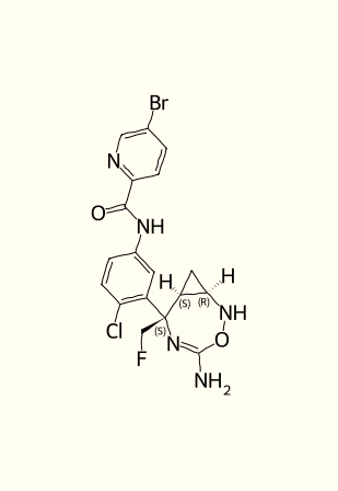 NC1=N[C@](CF)(c2cc(NC(=O)c3ccc(Br)cn3)ccc2Cl)[C@H]2C[C@H]2NO1